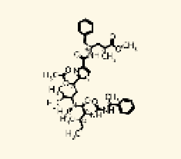 CC[C@H](C)[C@H](NC(=O)N[C@@H](C)c1ccccc1)C(=O)N(C)C(C[C@@H](OC(C)=O)c1nc(C(=O)N[C@@H](Cc2ccccc2)C[C@H](C)C(=O)OC)cs1)C(C)C